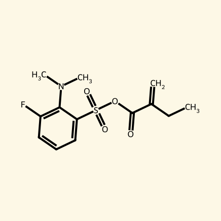 C=C(CC)C(=O)OS(=O)(=O)c1cccc(F)c1N(C)C